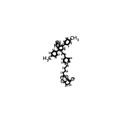 Cc1ccc(-c2nc(/C=C/c3cc[n+](CCCCC(=O)ON4C(=O)CCC4=O)cc3)c(-c3ccc(C)cc3)c3nsnc23)cc1